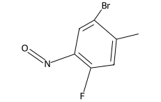 Cc1cc(F)c(N=O)cc1Br